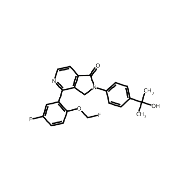 CC(C)(O)c1ccc(N2Cc3c(ccnc3-c3cc(F)ccc3OCF)C2=O)cc1